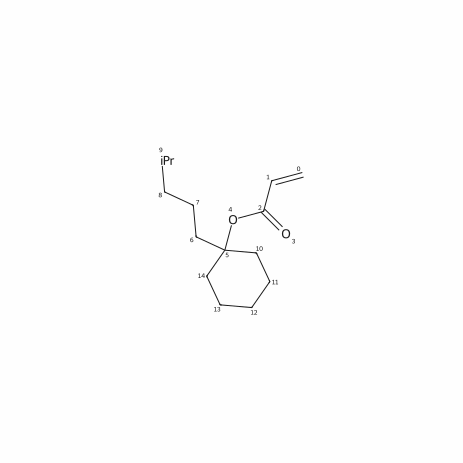 C=CC(=O)OC1(CCCC(C)C)CCCCC1